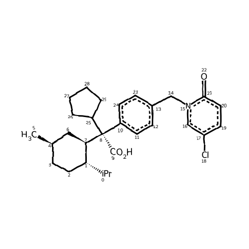 CC(C)[C@@H]1CC[C@@H](C)C[C@H]1[C@](C(=O)O)(c1ccc(Cn2cc(Cl)ccc2=O)cc1)C1CCCC1